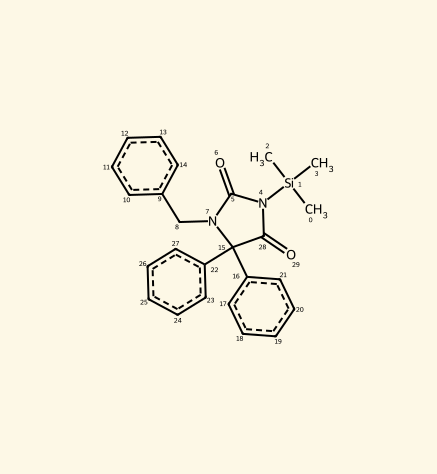 C[Si](C)(C)N1C(=O)N(Cc2ccccc2)C(c2ccccc2)(c2ccccc2)C1=O